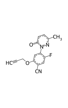 C#CCOc1cc(-n2nc(C)ccc2=O)c(F)cc1C#N